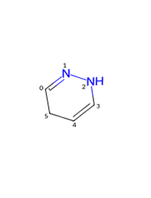 [C]1=NNC=CC1